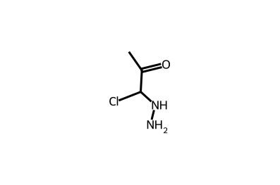 CC(=O)C(Cl)NN